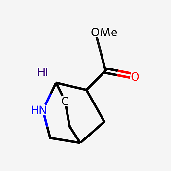 COC(=O)C1CC2CCC1NC2.I